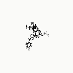 Nc1nc(OOCc2ccccc2)c2[nH]cnc2n1